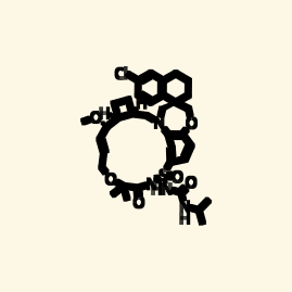 CO[C@H]1/C=C/COC(C)(C)C(=O)N=[S@](=O)(NC(=O)NC(C)C)c2ccc3c(c2)N(C[C@@H]2CC[C@H]21)C[C@@]1(CCCc2cc(Cl)ccc21)CO3